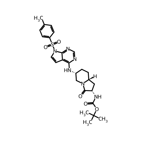 Cc1ccc(S(=O)(=O)n2ccc3c(N[C@@H]4CC[C@@H]5C[C@H](NC(=O)OC(C)(C)C)C(=O)N5C4)ncnc32)cc1